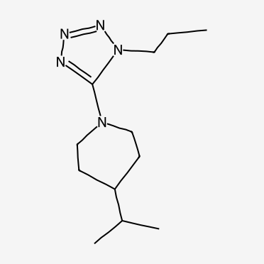 CCCn1nnnc1N1CCC(C(C)C)CC1